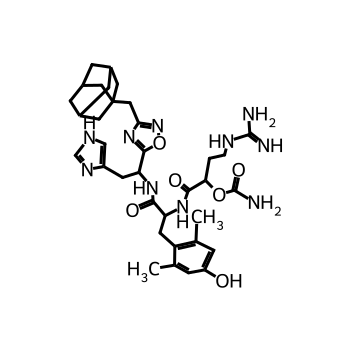 Cc1cc(O)cc(C)c1CC(NC(=O)C(CCNC(=N)N)OC(N)=O)C(=O)NC(Cc1c[nH]cn1)c1nc(CC23CC4CC(CC(C4)C2)C3)no1